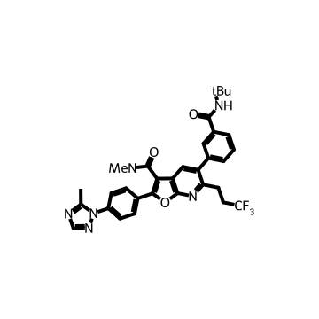 CNC(=O)c1c(-c2ccc(-n3ncnc3C)cc2)oc2nc(CCC(F)(F)F)c(-c3cccc(C(=O)NC(C)(C)C)c3)cc12